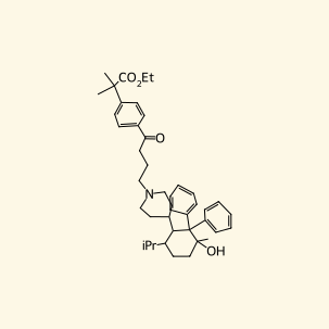 CCOC(=O)C(C)(C)c1ccc(C(=O)CCCN2CCC(C3C(C(C)C)CCC(C)(O)C3(c3ccccc3)c3ccccc3)CC2)cc1